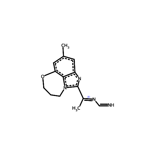 C/C(=N\C=N)c1nc2cc(C)cc3c2n1CCCO3